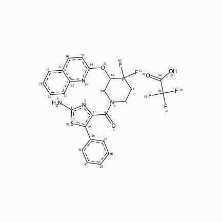 Nc1nc(C(=O)N2CCC(F)(F)C(Oc3ccc4ccccc4n3)C2)c(-c2ccccc2)s1.O=C(O)C(F)(F)F